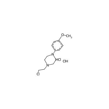 COc1ccc(N2CCN(CCCl)CC2)cc1.Cl.Cl